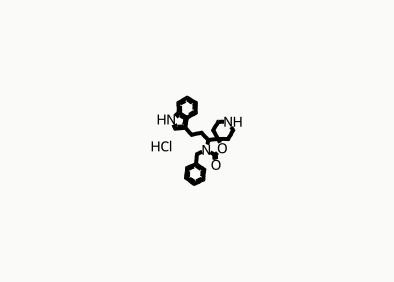 Cl.O=C1OC2(CCNCC2)C(CCc2c[nH]c3ccccc23)N1Cc1ccccc1